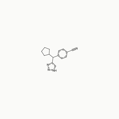 N#Cc1ccc(C(c2c[nH]nn2)C2CCCC2)cc1